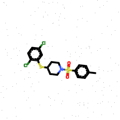 Cc1ccc(S(=O)(=O)N2CCC(Sc3cc(Cl)ccc3Cl)CC2)cc1